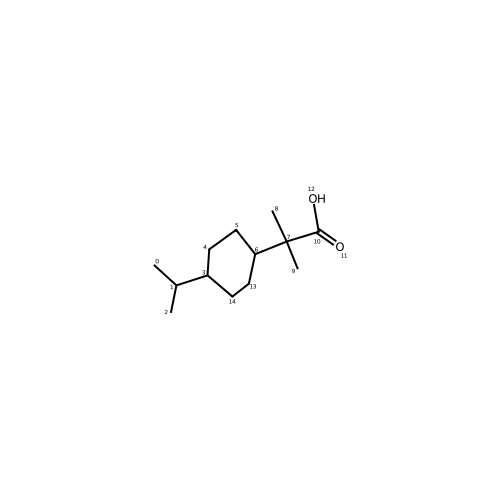 CC(C)C1CCC(C(C)(C)C(=O)O)CC1